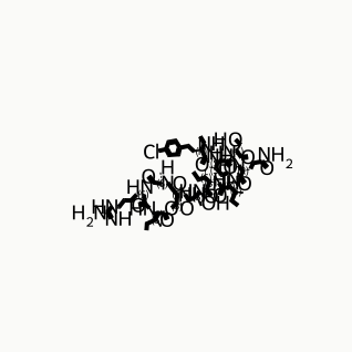 CC[C@H](C)[C@H](NC(=O)[C@@H](CCc1ccc(Cl)cc1)NC)C(=O)N[C@@H](CO)C(=O)N[C@H](CCC(N)=O)C(=O)N[C@@H](C(=O)N[C@H](C(=O)N[C@@H](CO)C(=O)N[C@H]1C(=O)N[C@@H](C)C(=O)N[C@@H](CCCCNC(=N)N)C(=O)N[C@@H]([C@@H](C)CC)C(=O)O[C@H]1C)[C@@H](C)CC)[C@@H](C)CC